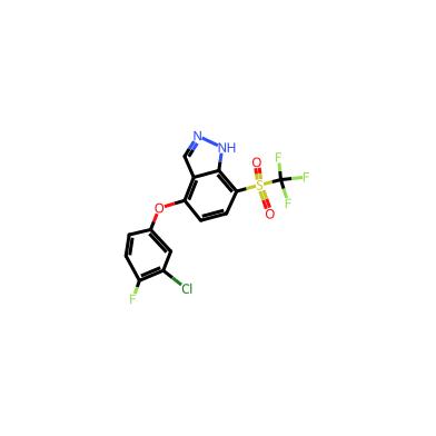 O=S(=O)(c1ccc(Oc2ccc(F)c(Cl)c2)c2cn[nH]c12)C(F)(F)F